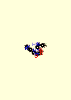 CS(=O)(=O)[C@@]1(C(=O)Nc2ccc3[nH]nc(-c4ccc(F)cc4)c3c2)CCN(C(=O)N2CC=C(c3ccc(-c4ncccn4)cc3)CC2)C1